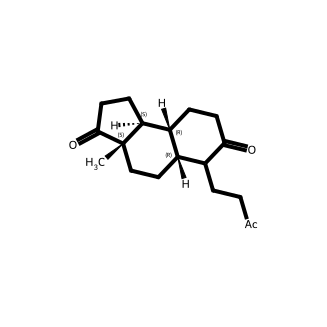 CC(=O)CCC1C(=O)CC[C@@H]2[C@H]1CC[C@]1(C)C(=O)CC[C@@H]21